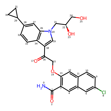 NC(=O)c1cc2cc(Cl)ccc2cc1OCC(=O)c1cn(C[C@H](O)CO)c2cc(C3CC3)ccc12